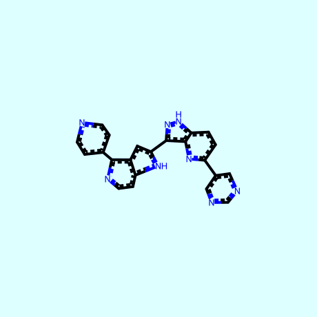 c1cc(-c2nccc3[nH]c(-c4n[nH]c5ccc(-c6cncnc6)nc45)cc23)ccn1